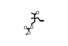 C=CCC(C)(CCOC(=O)OC)C(C)=O